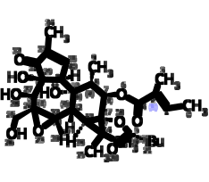 C/C=C(\C)C(=O)O[C@@H]1[C@@H](C)[C@@]2(O)[C@H]([C@@H]3C(C)(C)[C@]13OC(=O)[C@@H](C)CC)[C@@H]1O[C@]1(CO)[C@@H](O)[C@]1(O)C(=O)C(C)=C[C@H]12